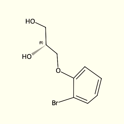 OC[C@@H](O)COc1ccccc1Br